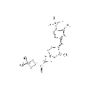 Cc1nc(O[C@@H]2CCC3(C[C@H]2C)CN(C(=O)[C@H]2C[C@@](C)(O)C2)C3)ccc1C(F)(F)F